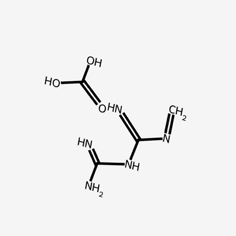 C=NC(=N)NC(=N)N.O=C(O)O